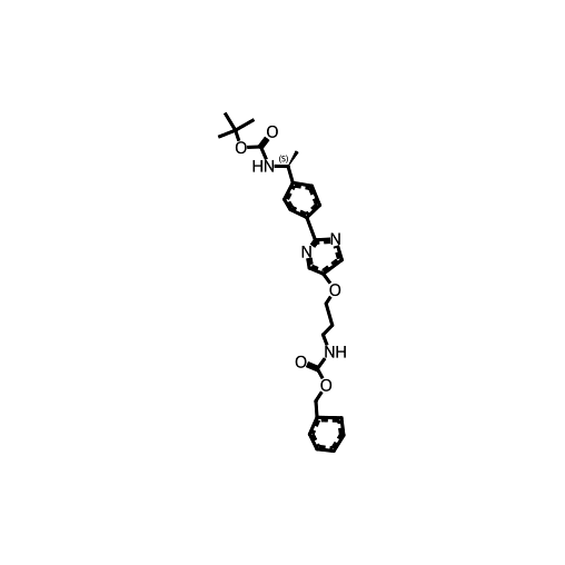 C[C@H](NC(=O)OC(C)(C)C)c1ccc(-c2ncc(OCCCNC(=O)OCc3ccccc3)cn2)cc1